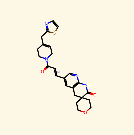 O=C(/C=C/c1cnc2c(c1)CC1(CCOCC1)C(=O)N2)N1CC=C(Cc2nccs2)CC1